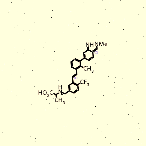 CN/C=C1/C=CC(c2cccc(/C=C/c3cc(CNC(C)C(=O)O)ccc3C(F)(F)F)c2C)=CC1=N